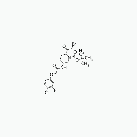 CC(C)(C)OC(=O)N1C[C@@H](NC(=O)COc2ccc(Cl)c(F)c2)CC[C@@H]1C(=O)CBr